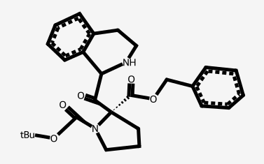 CC(C)(C)OC(=O)N1CCC[C@]1(C(=O)OCc1ccccc1)C(=O)C1NCCc2ccccc21